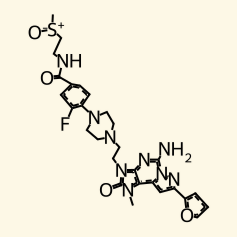 Cn1c(=O)n(CCN2CCN(c3ccc(C(=O)NCC[S+](C)[O-])cc3F)CC2)c2nc(N)n3nc(-c4ccco4)cc3c21